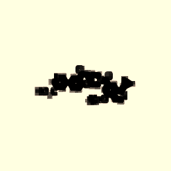 COc1cc(C(=O)N2CCC3(CC2)CC(=O)c2cc(-c4cncc(C(=O)O)c4)ccc2O3)cc2c(C3CC3)nccc12.[Na]